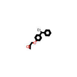 CCC(c1ccccc1)c1ccc(OCC2CO2)cc1